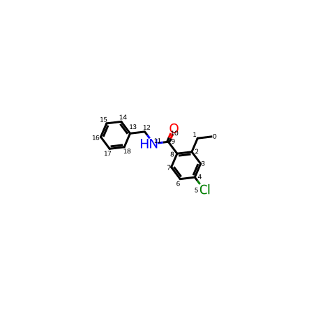 CCc1cc(Cl)ccc1C(=O)NCc1ccccc1